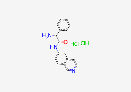 Cl.Cl.N[C@@H](C(=O)Nc1ccc2cnccc2c1)c1ccccc1